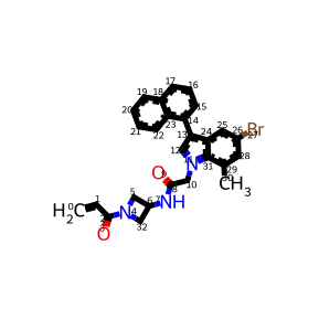 C=CC(=O)N1CC(NC(=O)Cn2cc(-c3cccc4ccccc34)c3cc(Br)cc(C)c32)C1